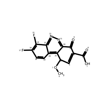 COC1C=C(C(=O)O)C(=O)c2nnc3c(F)c(F)ccc3c21